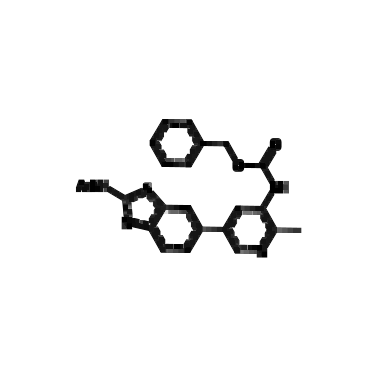 CC(=O)Nc1nc2ccc(-c3cnc(C)c(NC(=O)OCc4ccccc4)c3)cc2s1